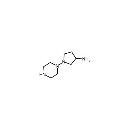 NC1CCN(N2CCNCC2)C1